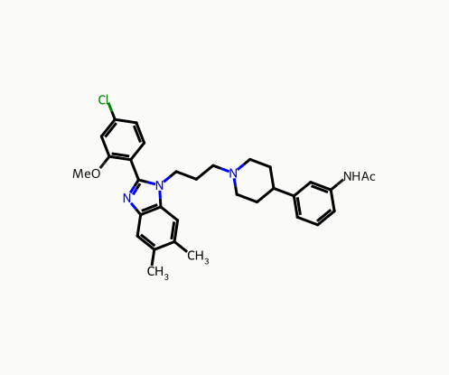 COc1cc(Cl)ccc1-c1nc2cc(C)c(C)cc2n1CCCN1CCC(c2cccc(NC(C)=O)c2)CC1